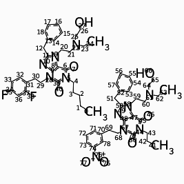 CCCCCn1c(=O)c2c(nc(Cc3ccccc3)n2CCN(CC)CCO)n(CCc2ccc(F)cc2F)c1=O.CCCn1c(=O)c2c(nc(Cc3ccccc3)n2CCN(CC)CCO)n(CCc2cccc([N+](=O)[O-])c2)c1=O